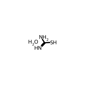 N=C(N)S.O